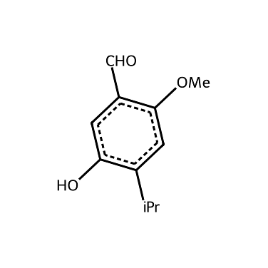 COc1cc(C(C)C)c(O)cc1C=O